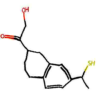 CC(S)c1ccc2c(c1)CC(C(=O)CO)CC2